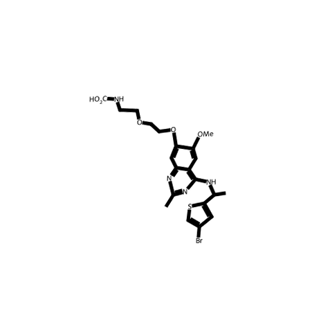 COc1cc2c(NC(C)c3cc(Br)cs3)nc(C)nc2cc1OCCOCCNC(=O)O